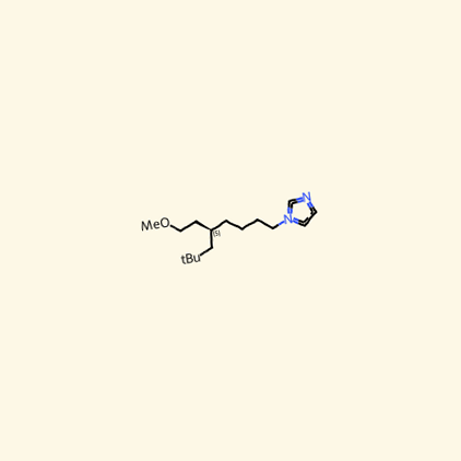 COCC[C@@H](CCCCn1ccnc1)CC(C)(C)C